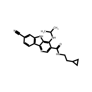 CC(C)Nc1c(C(=O)NCCC2CC2)cnc2c1[nH]c1cc(C#N)ccc12